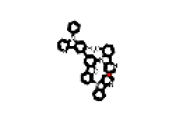 CC1CC=Cc2c1n(-c1cc(-c3ccc4c(c3)c3ncccc3n4-c3ccccc3)cc3c1oc1c(-n4c5ccccc5c5ncccc54)cccc13)c1cccnc21